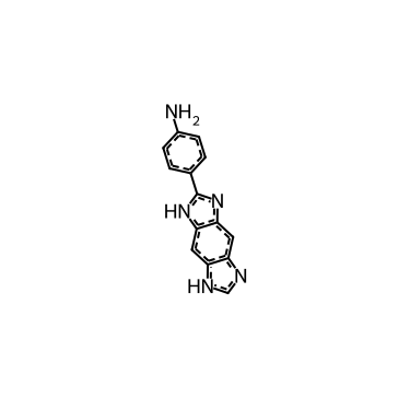 Nc1ccc(-c2nc3cc4nc[nH]c4cc3[nH]2)cc1